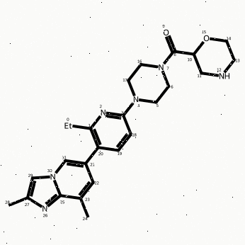 CCc1nc(N2CCN(C(=O)C3CNCCO3)CC2)ccc1-c1cc(C)c2nc(C)cn2c1